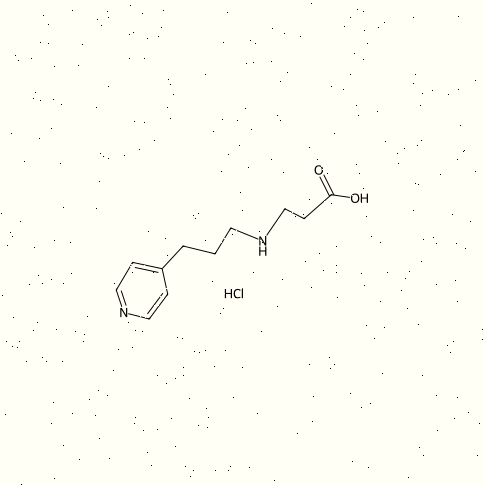 Cl.O=C(O)CCNCCCc1ccncc1